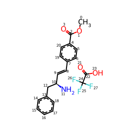 COC(=O)c1ccc(/C=C/[C@@H](N)Cc2ccccc2)cc1.O=C(O)C(F)(F)F